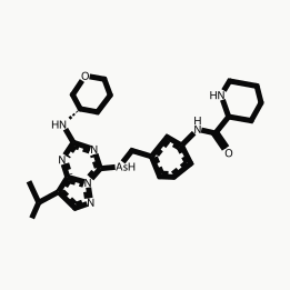 CC(C)c1cnn2c([AsH]Cc3cccc(NC(=O)C4CCCCN4)c3)nc(N[C@H]3CCCOC3)nc12